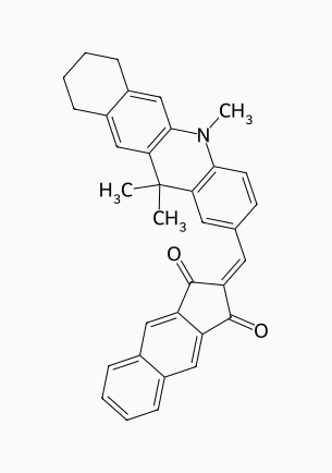 CN1c2ccc(C=C3C(=O)c4cc5ccccc5cc4C3=O)cc2C(C)(C)c2cc3c(cc21)CCCC3